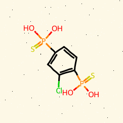 OP(O)(=S)c1ccc(P(O)(O)=S)c(Cl)c1